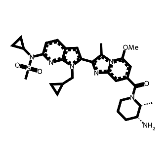 COc1cc(C(=O)N2CCC[C@@H](N)[C@H]2C)cc2nc(-c3cc4ccc(N(C5CC5)S(C)(=O)=O)nc4n3CC3CC3)c(C)n12